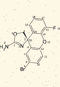 NC1=N[C@@]2(CO1)c1cc(Br)ccc1Oc1c(F)cccc12